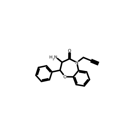 C#CCN1C(=O)C(N)C(c2ccccc2)Oc2ccccc21